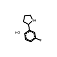 Cl.Fc1cccc(C2CCCN2)c1